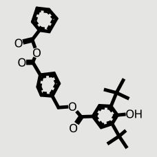 CC(C)(C)c1cc(C(=O)OCc2ccc(C(=O)OC(=O)c3ccccc3)cc2)cc(C(C)(C)C)c1O